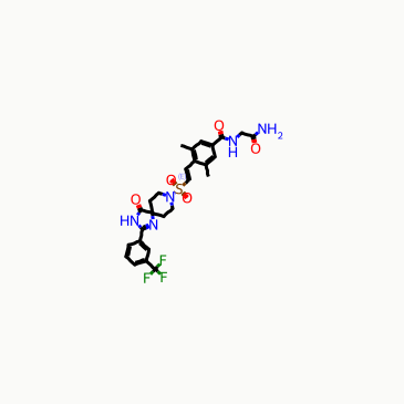 Cc1cc(C(=O)NCC(N)=O)cc(C)c1/C=C/S(=O)(=O)N1CCC2(CC1)N=C(c1cccc(C(F)(F)F)c1)NC2=O